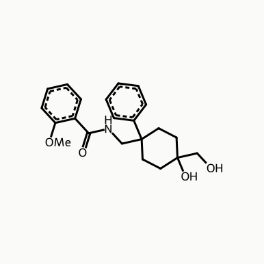 COc1ccccc1C(=O)NCC1(c2ccccc2)CCC(O)(CO)CC1